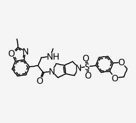 CNCC(C(=O)N1CC2=C(C1)CN(S(=O)(=O)c1ccc3c(c1)OCCO3)C2)c1cccc2oc(C)nc12